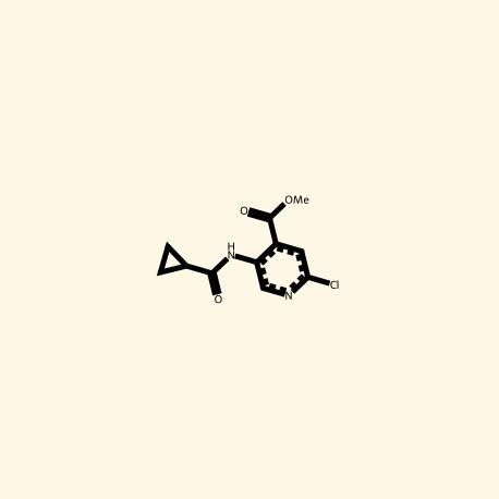 COC(=O)c1cc(Cl)ncc1NC(=O)C1CC1